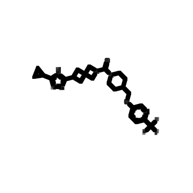 O=C(N1CCC(COc2ccc(C(F)(F)F)nc2)CC1)N1CC2(CC(c3nnc(C4CC4)[nH]3)C2)C1